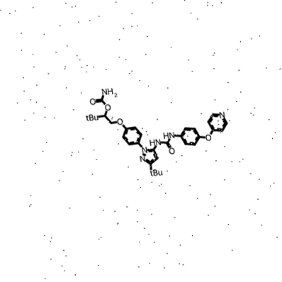 CC(C)(C)c1cc(NC(=O)Nc2ccc(Oc3ccncc3)cc2)n(-c2ccc(OCC(OC(N)=O)C(C)(C)C)cc2)n1